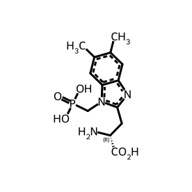 Cc1cc2nc(C[C@@H](N)C(=O)O)n(CP(=O)(O)O)c2cc1C